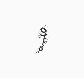 COc1ccc(C=CC(=O)CC(=O)c2cc3cc(Cl)ccc3oc2=O)cc1